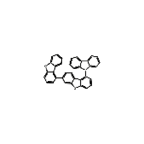 c1ccc2c(c1)oc1cccc(-c3ccc4c(c3)sc3cccc(-n5c6ccccc6c6ccccc65)c34)c12